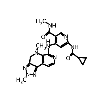 CNC(=O)c1cnc(NC(=O)C2CC2)cc1Nc1nccc2c1N(C)Cc1nn(C)nc1-2